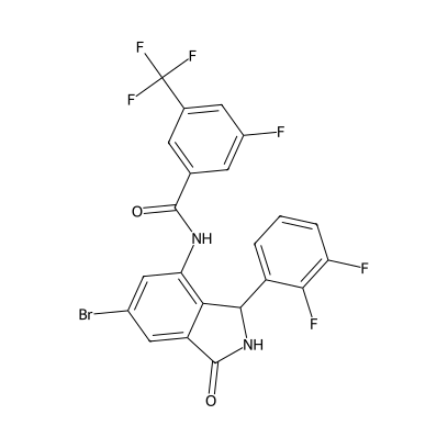 O=C(Nc1cc(Br)cc2c1C(c1cccc(F)c1F)NC2=O)c1cc(F)cc(C(F)(F)F)c1